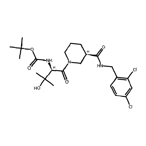 CC(C)(C)OC(=O)N[C@@H](C(=O)N1CCC[C@@H](C(=O)NCc2ccc(Cl)cc2Cl)C1)C(C)(C)O